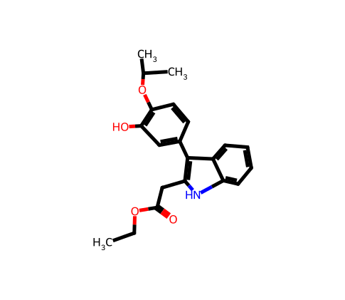 CCOC(=O)Cc1[nH]c2ccccc2c1-c1ccc(OC(C)C)c(O)c1